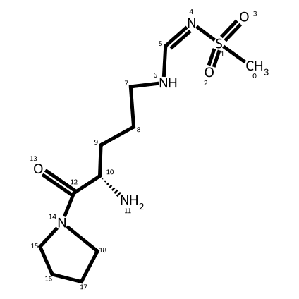 CS(=O)(=O)/N=C\NCCC[C@H](N)C(=O)N1CCCC1